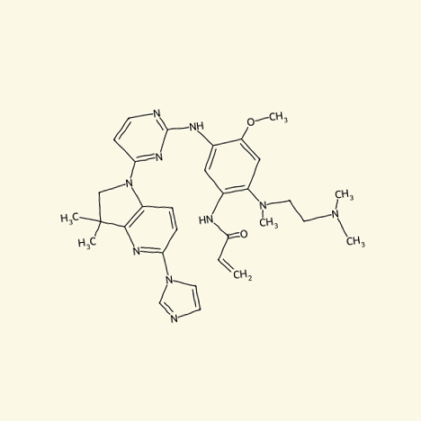 C=CC(=O)Nc1cc(Nc2nccc(N3CC(C)(C)c4nc(-n5ccnc5)ccc43)n2)c(OC)cc1N(C)CCN(C)C